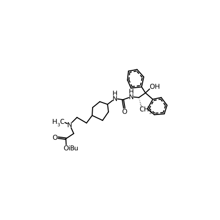 CC(C)COC(=O)CN(C)CCC1CCC(NC(=O)N[C@@H](C)C(O)(c2ccccc2)c2ccccc2)CC1